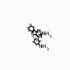 Nc1nc(N2CCC[C@H](N)C2)c2sc3c(c2n1)CCCC3